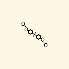 CC(C)(c1ccc(OCC2CO2)cc1)c1ccc(OC[C@@H]2CO2)cc1